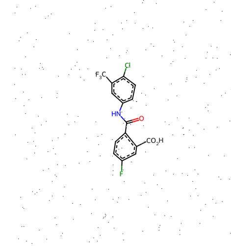 O=C(O)c1cc(F)ccc1C(=O)Nc1ccc(Cl)c(C(F)(F)F)c1